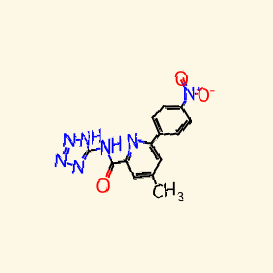 Cc1cc(C(=O)Nc2nnn[nH]2)nc(-c2ccc([N+](=O)[O-])cc2)c1